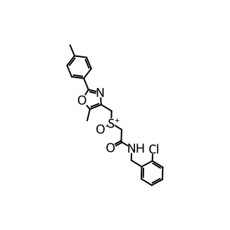 Cc1ccc(-c2nc(C[S+]([O-])CC(=O)NCc3ccccc3Cl)c(C)o2)cc1